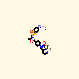 Cc1oc(-c2ccc(N(Cc3cccnc3)C(=O)C(F)(F)F)cc2)nc1CS(=O)(=O)C1CCC(N)CC1